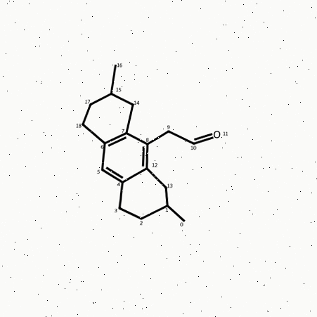 CC1CCc2cc3c(c(CC=O)c2C1)CC(C)CC3